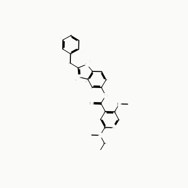 CNc1cnc(N(C)CI)cc1C(=N)Nc1ccc2[nH]c(Cc3ccccc3)nc2c1